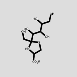 O=C(O)C1CSC(CO)(C(O)C(O)C(O)CO)N1